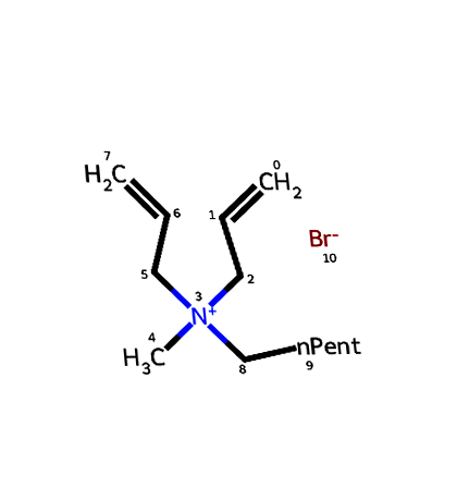 C=CC[N+](C)(CC=C)CCCCCC.[Br-]